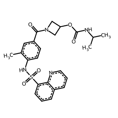 Cc1cc(C(=O)N2CC(OC(=O)NC(C)C)C2)ccc1NS(=O)(=O)c1cccc2cccnc12